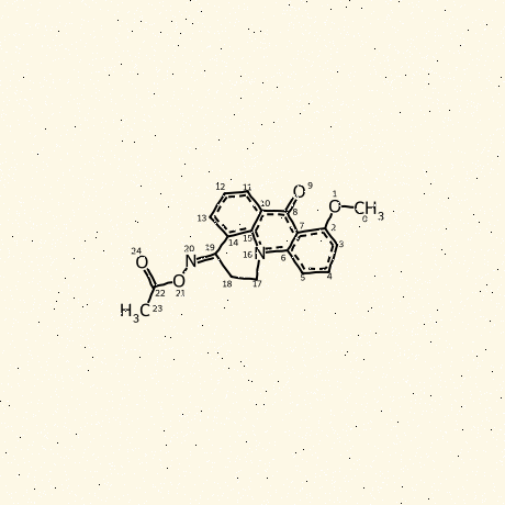 COc1cccc2c1c(=O)c1cccc3c1n2CC/C3=N\OC(C)=O